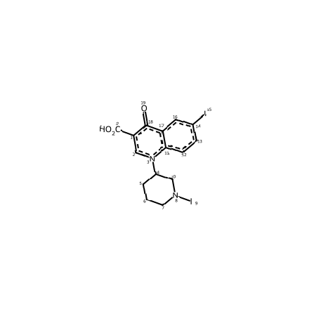 O=C(O)c1cn(C2CCCN(I)C2)c2ccc(I)cc2c1=O